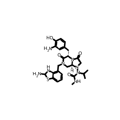 CNC(=O)N(C(C)C)N1CC(=O)N2[C@@H](Cc3ccc(O)c(N)c3)C(=O)N(Cc3cccc4c3NC(N)S4)C[C@@H]21